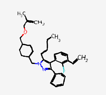 C=Cc1cccc(-c2c(-c3ccccc3)nn(CC3CCC(COCC(=C)C)CC3)c2CCCC)c1F